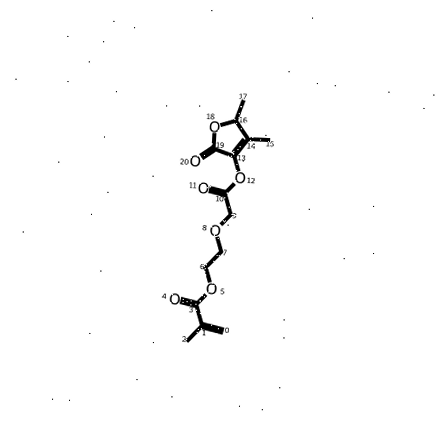 C=C(C)C(=O)OCCOCC(=O)OC1=C(C)C(C)OC1=O